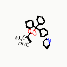 CC(=CC=O)C(=O)OC(c1ccccc1)(c1ccccc1)c1ccccc1.c1ccncc1